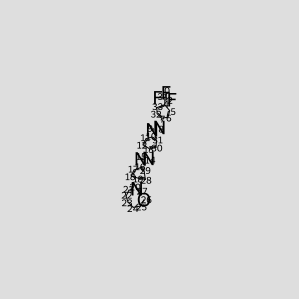 FC(F)(F)c1ccc(N=Nc2ccc(N=Nc3ccc(N4CCCCCOC4)cc3)cc2)cc1